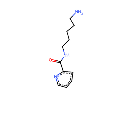 NCCCCCNC(=O)c1ccccn1